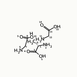 C[C@H](N)C(=O)O.NCC(=O)O.NCC(=O)O